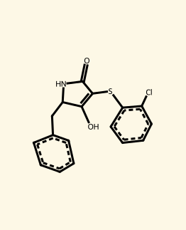 O=C1NC(Cc2ccccc2)C(O)=C1Sc1ccccc1Cl